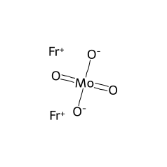 [Fr+].[Fr+].[O]=[Mo](=[O])([O-])[O-]